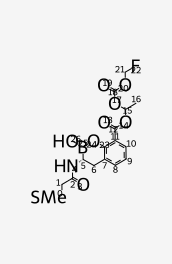 CSCC(=O)N[C@H]1Cc2cccc(C(=O)OC(C)OC(=O)OCF)c2OB1O